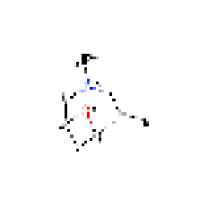 CC1CN(C(C)C)CC2CC1O2